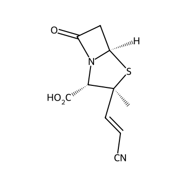 C[C@@]1(/C=C/C#N)S[C@@H]2CC(=O)N2[C@H]1C(=O)O